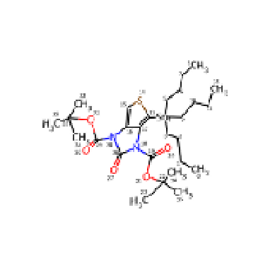 CCC[CH2][Sn]([CH2]CCC)([CH2]CCC)[c]1scc2c1n(C(=O)OC(C)(C)C)c(=O)n2C(=O)OC(C)(C)C